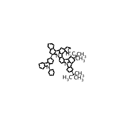 CC(C)(C)c1ccc2c(c1)c1cc(C(C)(C)C)cc3c4c5c6c7ccccc7cc7c8c9ccccc9cc(-c9ccc%10c(c9)c9ccccc9n%10-c9ccccc9)c8n(c5ccc4n2c13)c76